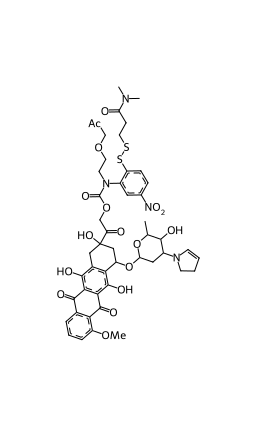 COc1cccc2c1C(=O)c1c(O)c3c(c(O)c1C2=O)CC(O)(C(=O)COC(=O)N(CCOCC(C)=O)c1cc([N+](=O)[O-])ccc1SSCCC(=O)N(C)C)CC3OC1CC(N2C=CCC2)C(O)C(C)O1